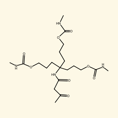 CNC(=O)OCCCC(CCCOC(=O)NC)(CCCOC(=O)NC)NC(=O)CC(C)=O